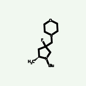 C[C@@H]1CC(F)(CN2CCOCC2)CN1C(C)(C)C